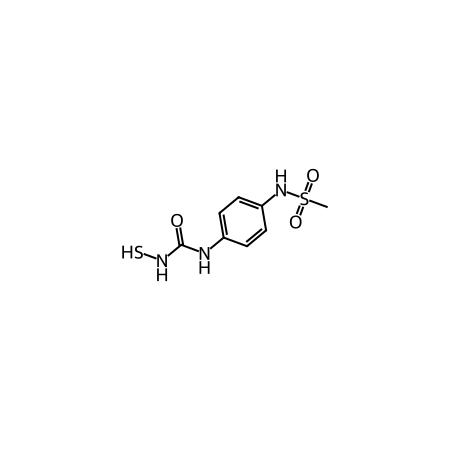 CS(=O)(=O)Nc1ccc(NC(=O)NS)cc1